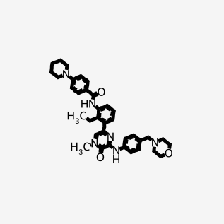 CCc1c(NC(=O)c2ccc(N3CCCCC3)cc2)cccc1-c1cn(C)c(=O)c(Nc2ccc(CN3CCOCC3)cc2)n1